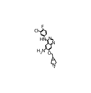 CN1CC2C(COc3cc4ncnc(Nc5ccc(F)c(Cl)c5)c4cc3N)C2C1